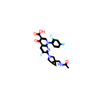 CC(=O)NCC12CC1CN(c1nc3c(cc1F)c(=O)c(C(=O)O)cn3-c1ccc(F)cc1F)C2